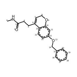 CNC(=O)CCC1=CCOc2cc(OCc3ccccc3)ccc21